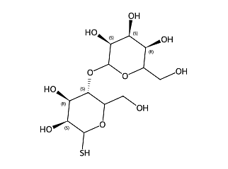 OCC1OC(S)[C@@H](O)[C@@H](O)[C@@H]1OC1OC(CO)[C@H](O)[C@H](O)[C@@H]1O